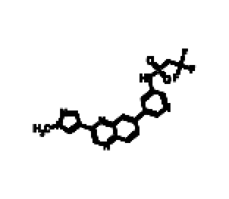 Cn1cc(-c2cnc3ccc(-c4cncc(NS(=O)(=O)CC(F)(F)F)c4)cc3n2)cn1